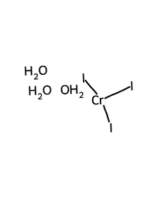 O.O.O.[I][Cr]([I])[I]